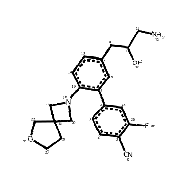 N#Cc1ccc(-c2cc(CC(O)CN)ccc2N2CC3(CCOC3)C2)cc1F